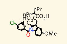 CCCC(CCC)C(=O)O.COc1ccc2c(c1)c(CC(=O)O)c(C)n2C(=O)c1ccc(Cl)cc1